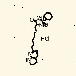 Cl.O=C(O)C(CCCCCCCc1ccc2c(n1)NCCC2)NS(=O)(=O)C1CCCCC1